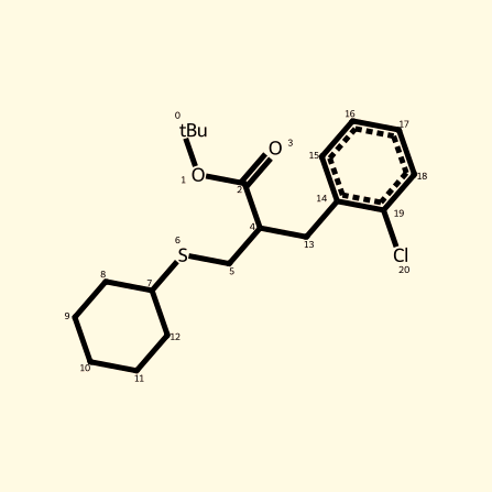 CC(C)(C)OC(=O)C(CSC1CCCCC1)Cc1ccccc1Cl